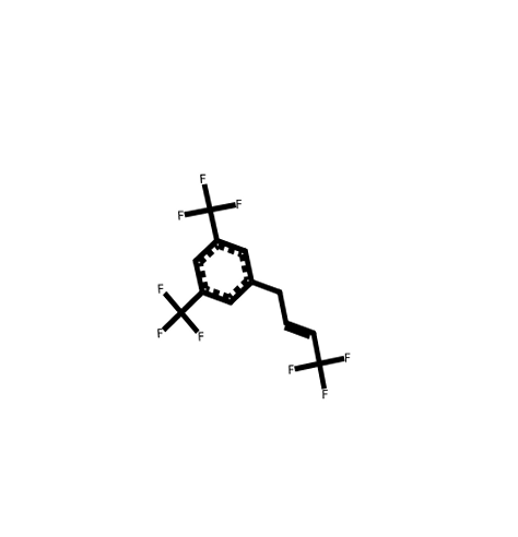 FC(F)(F)/C=C/Cc1cc(C(F)(F)F)cc(C(F)(F)F)c1